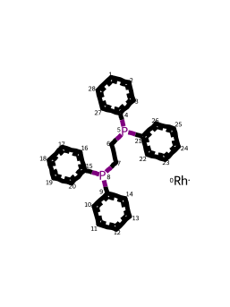 [Rh].c1ccc(P(CCP(c2ccccc2)c2ccccc2)c2ccccc2)cc1